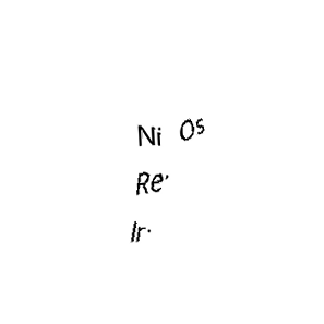 [Ir].[Ni].[Os].[Re]